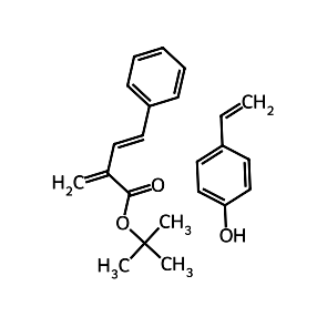 C=C(C=Cc1ccccc1)C(=O)OC(C)(C)C.C=Cc1ccc(O)cc1